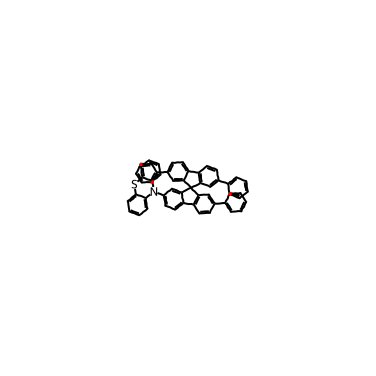 c1ccc(-c2ccc3c(c2)C2(c4cc(-c5ccccc5)ccc4-3)c3cc(-c4ccccc4)ccc3-c3ccc(N4c5ccccc5Sc5ccccc54)cc32)cc1